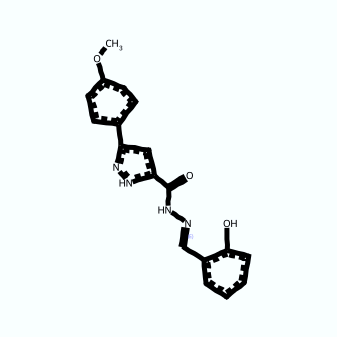 COc1ccc(-c2cc(C(=O)N/N=C/c3ccccc3O)[nH]n2)cc1